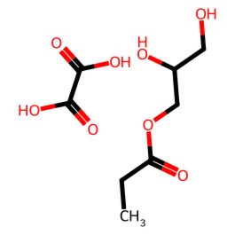 CCC(=O)OCC(O)CO.O=C(O)C(=O)O